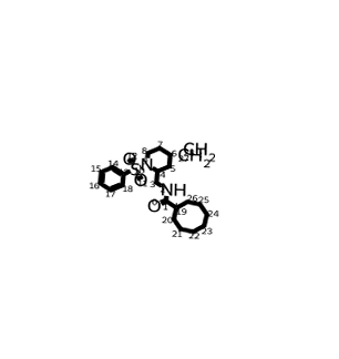 O=C(NCC1CCCCN1S(=O)(=O)c1ccccc1)[C]1CCCCCCC1.[CH2].[CH2]